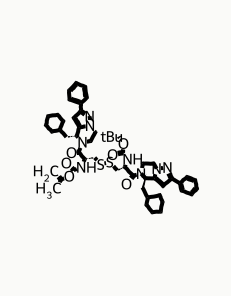 C=C(C)OC(=O)N[C@@H](CSSC[C@H](NC(=O)OC(C)(C)C)C(=O)N1CCn2nc(-c3ccccc3)cc2[C@H]1CC1CCCCC1)C(=O)N1CCn2nc(-c3ccccc3)cc2[C@H]1CC1CCCCC1